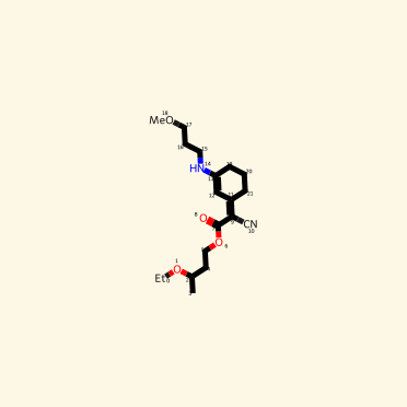 CCOC(C)CCOC(=O)/C(C#N)=C1\C=C(NCCCOC)CCC1